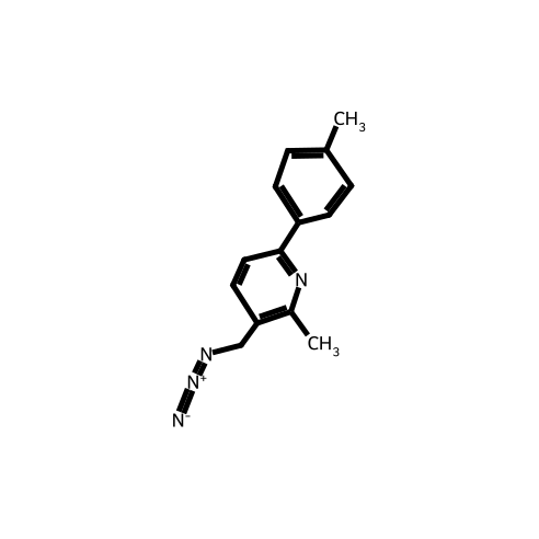 Cc1ccc(-c2ccc(CN=[N+]=[N-])c(C)n2)cc1